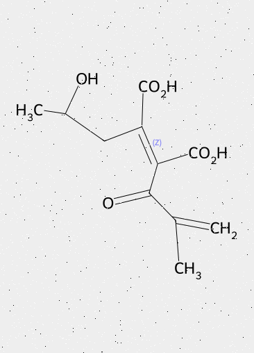 C=C(C)C(=O)/C(C(=O)O)=C(\CC(C)O)C(=O)O